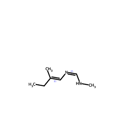 CC/C(C)=C/N=C\NC